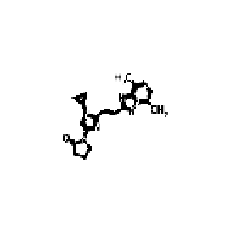 Cc1ncc(C)n2nc(C=Cc3nc(N4CCCC4=O)cn3C3CC3)nc12